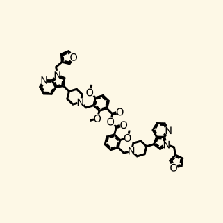 COc1ccc(C(=O)OC(=O)c2cccc(CN3CCC(c4cn(Cc5ccoc5)c5ncccc45)CC3)c2OC)c(OC)c1CN1CCC(c2cn(Cc3ccoc3)c3ncccc23)CC1